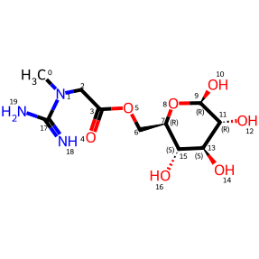 CN(CC(=O)OC[C@H]1O[C@@H](O)[C@H](O)[C@@H](O)[C@@H]1O)C(=N)N